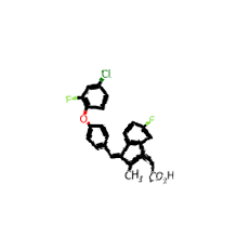 CC1=C(CC(=O)O)c2cc(F)ccc2/C1=C\c1ccc(Oc2ccc(Cl)cc2F)cc1